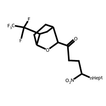 [CH2]CCCCCCC(CCC(=O)[C]1OC2CCC1CC2C(F)(F)C(F)(F)F)[N+](=O)[O-]